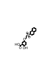 O=C(O)c1cc(OCCS(=O)(=O)c2ccc3ccccc3c2)ccc1O